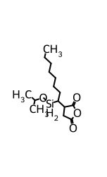 CCCCCCCC([SiH2]OC(C)C)C1CC(=O)OC1=O